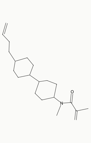 C=CCCC1CCC(C2CCC(N(C)C(=O)C(=C)C)CC2)CC1